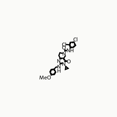 COc1ccc(CNc2nc3c(c(=O)n2C2CC2)CN(C(=O)Nc2ccc(Cl)cc2Cl)CC3)cc1